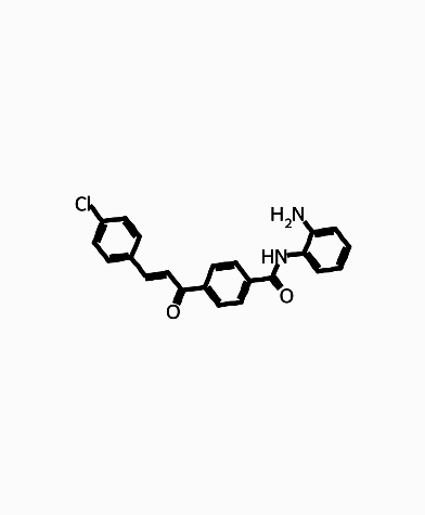 Nc1ccccc1NC(=O)c1ccc(C(=O)C=Cc2ccc(Cl)cc2)cc1